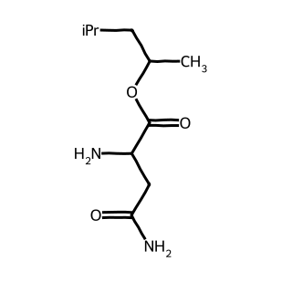 CC(C)CC(C)OC(=O)C(N)CC(N)=O